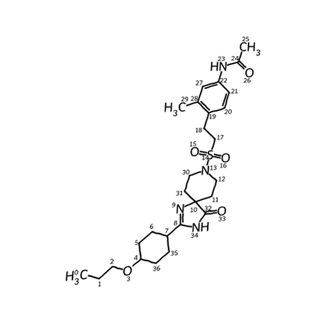 CCCOC1CCC(C2=NC3(CCN(S(=O)(=O)CCc4ccc(NC(C)=O)cc4C)CC3)C(=O)N2)CC1